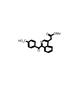 COC(=O)Cc1cnc(C(=O)c2ccc(C(=O)O)cc2)c2ccccc12